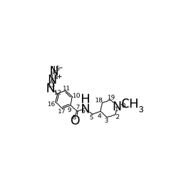 CN1CCC(CNC(=O)c2ccc(N=[N+]=[N-])cc2)CC1